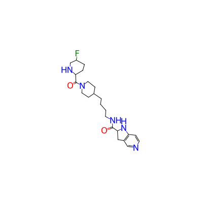 O=C(NCCCCC1CCN(C(=O)C2CCC(F)CN2)CC1)C1Cc2cnccc2N1